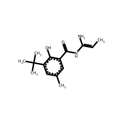 CC=C(N)NC(=O)c1cc(C)cc(C(C)(C)C)c1O